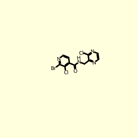 O=C(NCc1nccnc1Cl)c1ccnc(Br)c1Cl